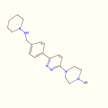 CC(C)N1CCN(c2ccc(-c3ccc(CNN4CCCCC4)cc3)nn2)CC1